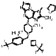 Cc1nc2c(N3C[C@@H](C)N(C(c4ccc(C(F)(F)F)cc4)[C@H]4C[C@H](C(F)(F)F)C4)C[C@@H]3C)nc3nncn3c2n1C[C@@H]1CCCO1